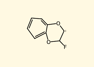 FC1[C]Oc2ccccc2O1